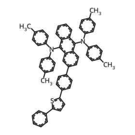 Cc1ccc(N(c2ccc(C)cc2)c2c3ccccc3c(N(c3ccc(C)cc3)c3ccc(C)cc3)c3cc(-c4ccc(-c5ccc(-c6ccccc6)s5)cc4)ccc23)cc1